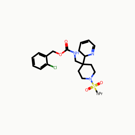 CCCS(=O)(=O)N1CCC(CNC(=O)OCc2ccccc2Cl)(C2CC=CC=N2)CC1